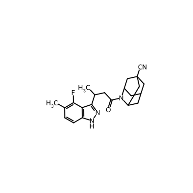 Cc1ccc2[nH]nc(C(C)CC(=O)N3C4CC5CC3CC(C#N)(C5)C4)c2c1F